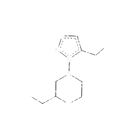 CCC1CN(n2nncc2C[O])CCO1